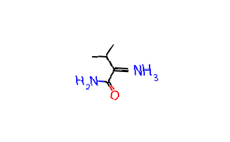 C=C(C(N)=O)C(C)C.N